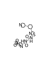 CS(=O)(=O)n1cnc(C(=O)NCC(=O)Nc2nc(-c3cccc(-c4ccncc4)c3)cs2)c1